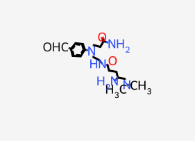 CN(C)CC(N)CCC(=O)NCCN(CCC(N)=O)c1ccc(C=O)cc1